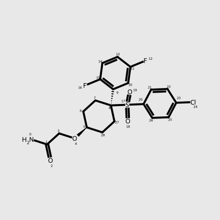 NC(=O)CO[C@H]1CC[C@@](c2cc(F)ccc2F)(S(=O)(=O)c2ccc(Cl)cc2)CC1